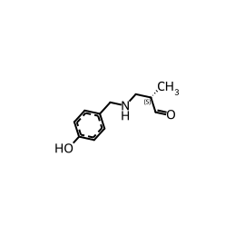 C[C@H](C=O)CNCc1ccc(O)cc1